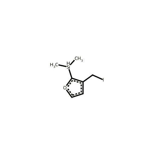 C[SiH](C)c1occc1CI